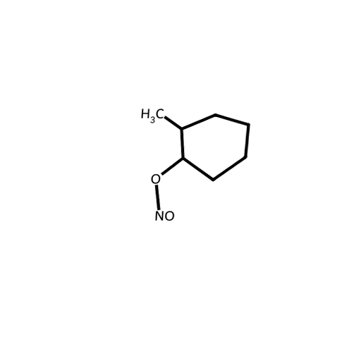 CC1CCCCC1ON=O